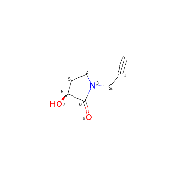 C#CCN1CC[C@H](O)C1=O